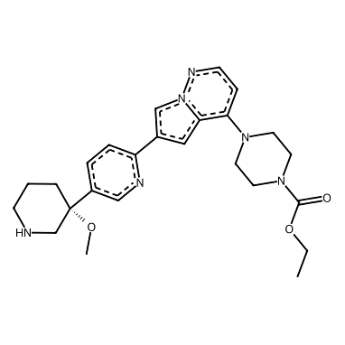 CCOC(=O)N1CCN(c2ccnn3cc(-c4ccc([C@]5(OC)CCCNC5)cn4)cc23)CC1